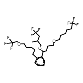 CC(CO[C](CCCOCCCCCC(F)(F)F)c1ccccc1CCCCCOCC(F)(F)F)CC(F)(F)F